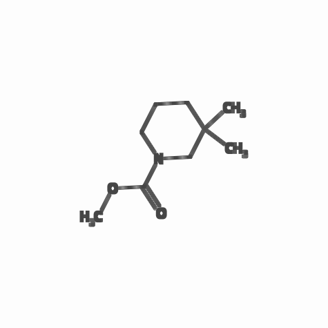 COC(=O)N1CCCC(C)(C)C1